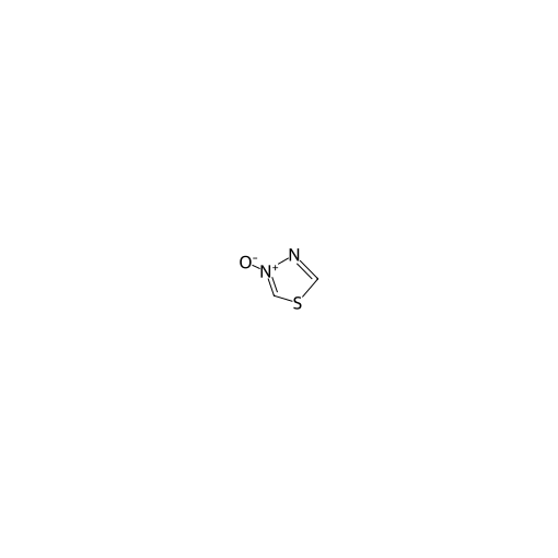 [O-][n+]1cscn1